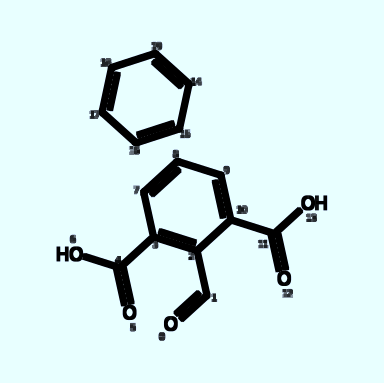 O=Cc1c(C(=O)O)cccc1C(=O)O.c1ccccc1